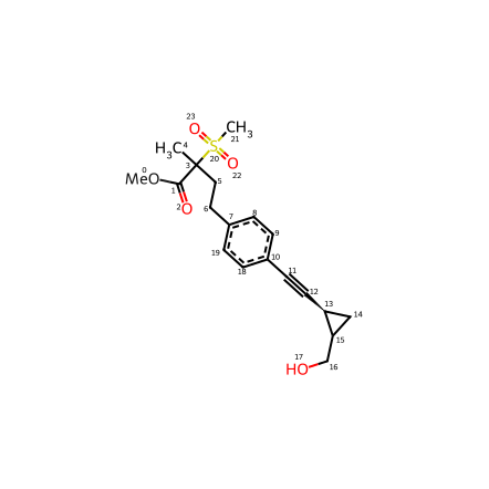 COC(=O)C(C)(CCc1ccc(C#C[C@H]2CC2CO)cc1)S(C)(=O)=O